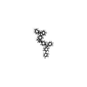 c1ccc(-c2ccc(N(c3ccccc3)c3ccc(-n4ccc5cc6c(cc54)c4ccccc4n6-c4ccccc4)cc3)cc2)cc1